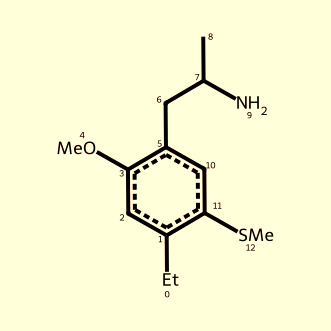 CCc1cc(OC)c(CC(C)N)cc1SC